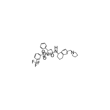 O=C(C[C@@H](NS(=O)(=O)c1cccc(C(F)(F)F)c1)c1ccccc1)N[C@@H]1CCCc2cc(CN3CCCC3)ccc21